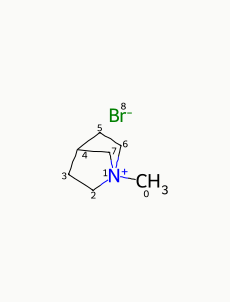 C[N+]12CCC(CC1)C2.[Br-]